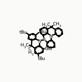 CC(C)(C)c1cc(C(C)(C)C)c2c(c1)C(C)(C)c1cc(C(C)(C)C)cc(C(C)(C)C)c1N2B1c2ccccc2N2c3ccccc3C(C)(C)c3cccc1c32